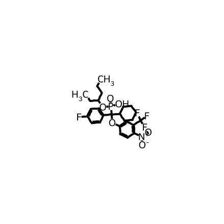 CCCC(CC)OP(=O)(O)C(Oc1ccc([N+](=O)[O-])c(C(F)(F)F)c1)(c1ccc(F)cc1)C1CCCCC1